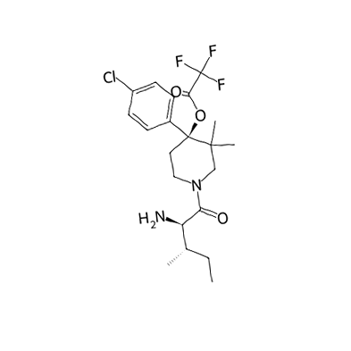 CC[C@H](C)[C@@H](N)C(=O)N1CC[C@](OC(=O)C(F)(F)F)(c2ccc(Cl)cc2)C(C)(C)C1